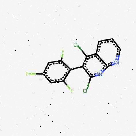 Fc1cc(F)c(-c2c(Cl)nc3ncccc3c2Cl)c(F)c1